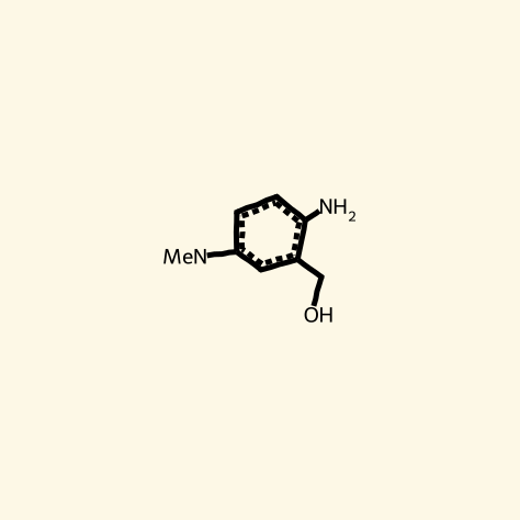 CNc1ccc(N)c(CO)c1